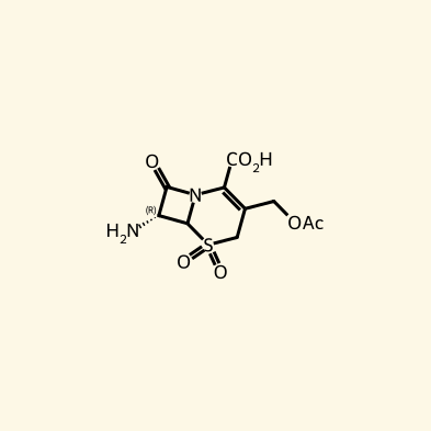 CC(=O)OCC1=C(C(=O)O)N2C(=O)[C@@H](N)C2S(=O)(=O)C1